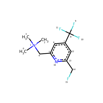 C[N+](C)(C)Cc1cc(C(F)(F)F)cc(CF)n1